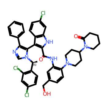 C[C@@H](c1ccc(Cl)cc1Cl)n1cnc(-c2ccccc2)c1-c1c(C(=O)Nc2cc(CO)ccc2N2CCC(N3CCCCC3=O)CC2)[nH]c2cc(Cl)ccc12